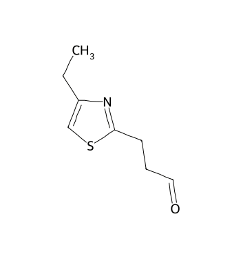 CCc1csc(CCC=O)n1